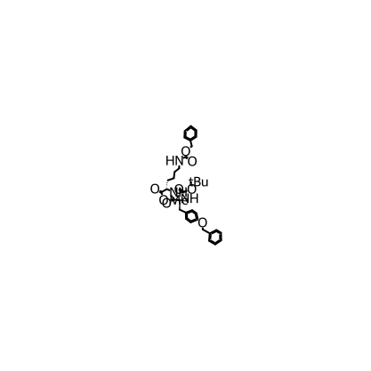 COC(=O)[C@H](CCCCNC(=O)OCc1ccccc1)NC(=O)[C@H](Cc1ccc(OCc2ccccc2)cc1)NC(=O)OC(C)(C)C